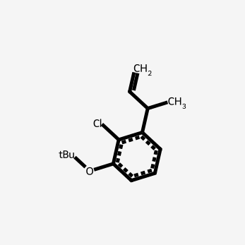 C=C[C](C)c1cccc(OC(C)(C)C)c1Cl